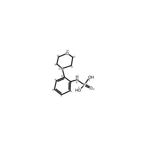 O=P(O)(O)Nc1ccccc1N1CCOCC1